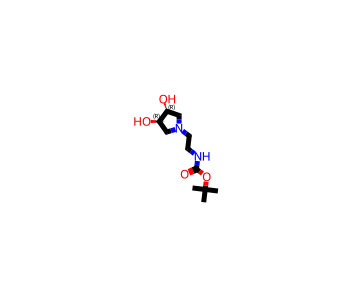 CC(C)(C)OC(=O)NCCN1C[C@@H](O)[C@H](O)C1